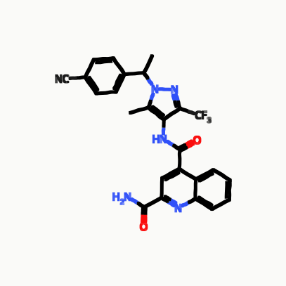 Cc1c(NC(=O)c2cc(C(N)=O)nc3ccccc23)c(C(F)(F)F)nn1C(C)c1ccc(C#N)cc1